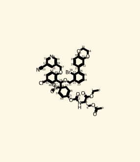 CCOC(=O)[C@H](COC(C)=O)NC(=O)OC1=CCC(C(OCc2cccc(-c3ccc4c(c3)OCCO4)c2Br)c2cc(Cl)ccc2OCc2cncc(C#N)c2)([N+](=O)[O-])C=C1